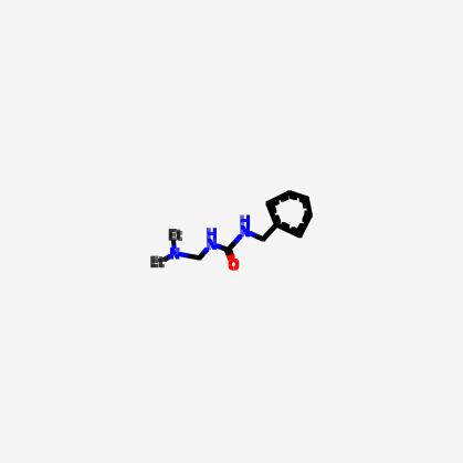 CCN(CC)CNC(=O)NCc1ccccc1